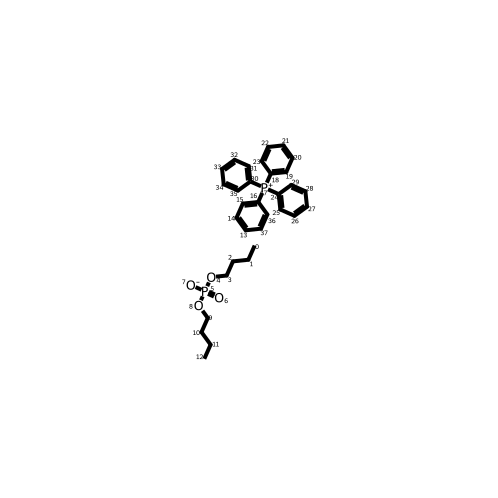 CCCCOP(=O)([O-])OCCCC.c1ccc([P+](c2ccccc2)(c2ccccc2)c2ccccc2)cc1